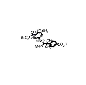 CCOC(=O)/C(C)=C/C(C(C)C)N(C)OC(NOC(NC)C(C)(C)c1ccc(C(=O)O)cc1)C(C)(C)C